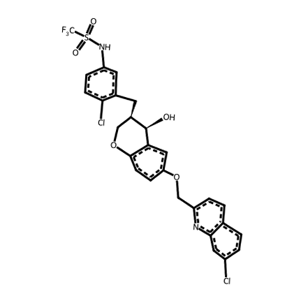 O=S(=O)(Nc1ccc(Cl)c(C[C@@H]2COc3ccc(OCc4ccc5ccc(Cl)cc5n4)cc3[C@@H]2O)c1)C(F)(F)F